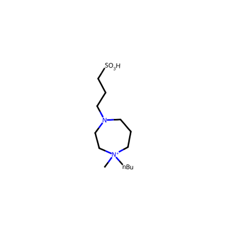 CCCC[N+]1(C)CCCN(CCCS(=O)(=O)O)CC1